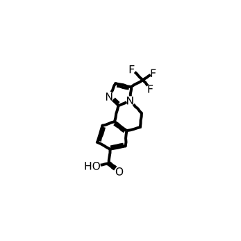 O=C(O)c1ccc2c(c1)CCn1c(C(F)(F)F)cnc1-2